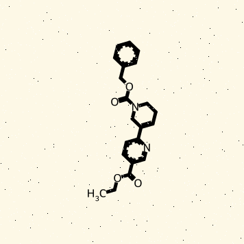 CCOC(=O)c1ccc(C2=CCCN(C(=O)OCc3ccccc3)C2)nc1